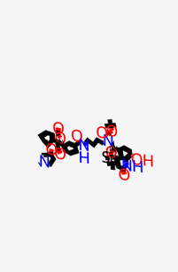 CN1CCC(OC(=O)[C@@](OC=O)(c2ccccc2)c2cccc(C(=O)NCCCCN(C[C@H](O[Si](C)(C)C(C)(C)C)c3ccc(O)c4[nH]c(=O)ccc34)C(=O)OC(C)(C)C)c2)C1